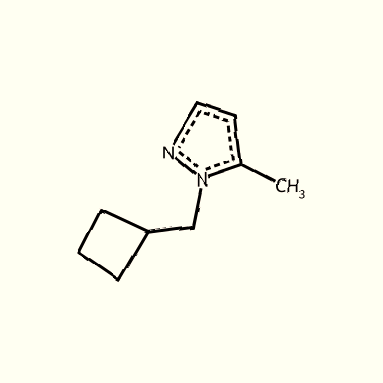 Cc1ccnn1CC1CCC1